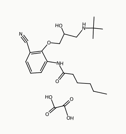 CCCCCC(=O)Nc1cccc(C#N)c1OCC(O)CNC(C)(C)C.O=C(O)C(=O)O